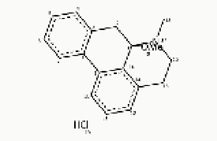 COC12Cc3ccccc3-c3cccc(c31)CCN2C.Cl